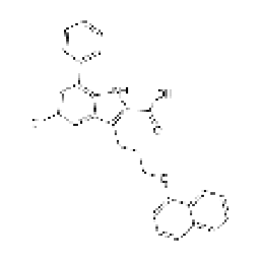 O=C(O)c1[nH]c2c(-c3ccccc3)cc(Cl)cc2c1CCCOc1cccc2ccccc12